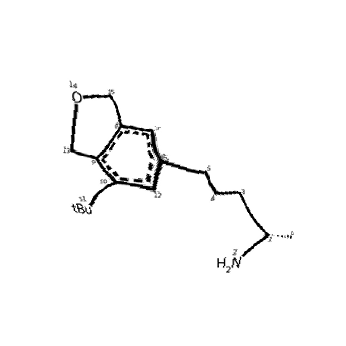 C[C@H](N)CCCc1cc2c(c(C(C)(C)C)c1)COC2